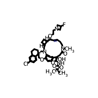 CN1CC/C=C/[C@H](OCCN2CC(F)C2)[C@@H]2CC[C@H]2CN2C[C@@]3(CCCc4cc(Cl)ccc43)COc3ccc(cc32)[C@@](O)(C(=O)NS(=O)(=O)N(C)C)CC1=O